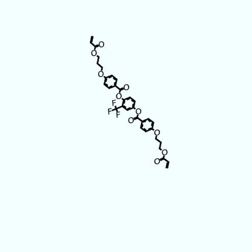 C=CC(=O)OCCCOc1ccc(C(=O)Oc2ccc(OC(=O)c3ccc(OCCCOC(=O)C=C)cc3)c(C(F)(F)F)c2)cc1